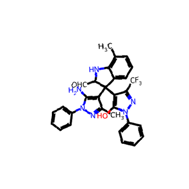 Cc1cccc2c1NC(C=O)C2(c1c(C)nn(-c2ccccc2)c1N)c1c(C(F)(F)F)nn(-c2ccccc2)c1O